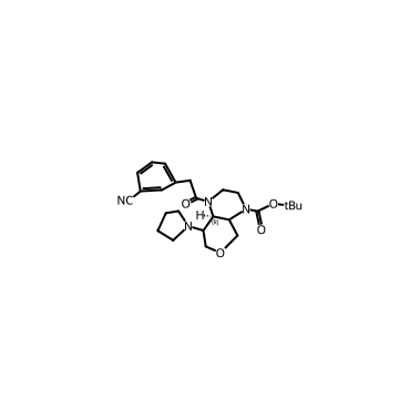 CC(C)(C)OC(=O)N1CCN(C(=O)Cc2cccc(C#N)c2)[C@@H]2C(N3CCCC3)COCC21